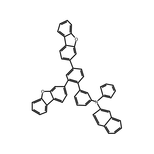 c1ccc(N(c2cccc(-c3ccc(-c4ccc5c(c4)oc4ccccc45)cc3-c3ccc4c(c3)oc3ccccc34)c2)c2ccc3ccccc3c2)cc1